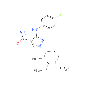 CC(C)(C)CC1C(C#N)C(n2cc(C(N)=O)c(Nc3ccc(F)cc3)n2)CCN1C(=O)O